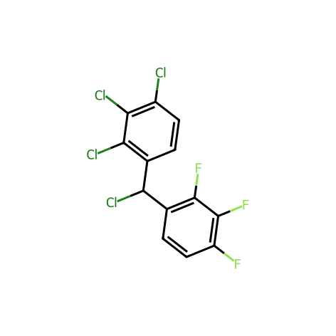 Fc1ccc(C(Cl)c2ccc(Cl)c(Cl)c2Cl)c(F)c1F